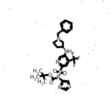 CC(C)(C)OC(=O)N(c1cscn1)S(=O)(=O)c1cc(C(F)(F)F)c(N[C@H]2CCN(Cc3ccccc3)C2)cn1